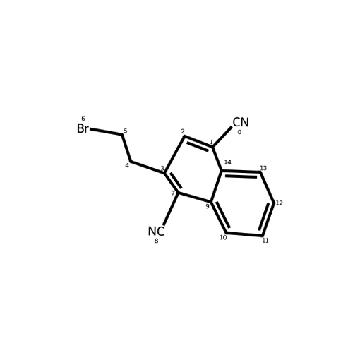 N#Cc1cc(CCBr)c(C#N)c2ccccc12